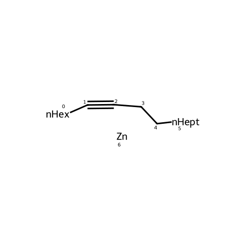 CCCCCCC#CCCCCCCCCC.[Zn]